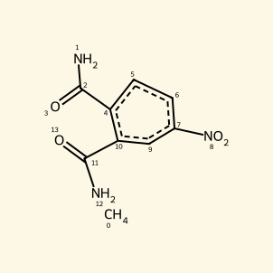 C.NC(=O)c1ccc([N+](=O)[O-])cc1C(N)=O